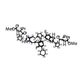 C#C/C=c1/[nH]c([C@@H]2CCCN2C(=O)C(NC(=O)OC)C(C)C)n/c1=C/C[C@H]1CC[C@H](c2cc3nc([C@@H]4CCCN4C(=O)[C@@H](NC(=O)OC)C(C)C)[nH]c3cc2F)N1c1ccc(N2CCCCC2)c(F)c1